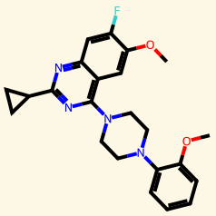 COc1cc2c(N3CCN(c4ccccc4OC)CC3)nc(C3CC3)nc2cc1F